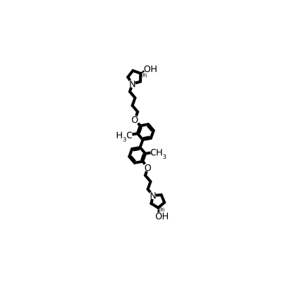 Cc1c(OCCCCN2CC[C@@H](O)C2)cccc1-c1cccc(OCCCN2CC[C@@H](O)C2)c1C